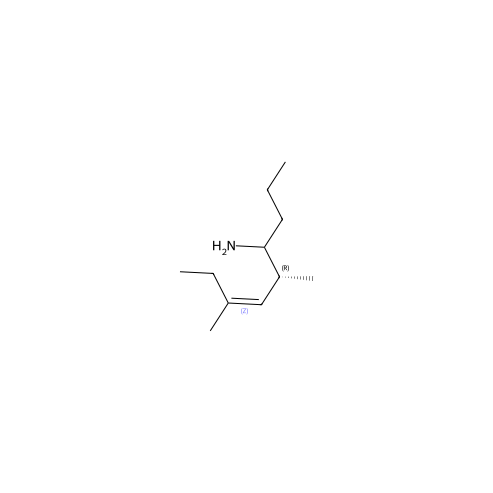 CCCC(N)[C@H](C)/C=C(/C)CC